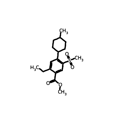 CCc1cc(C2CCC(C)CC2)c(S(C)(=O)=O)cc1C(=O)OC